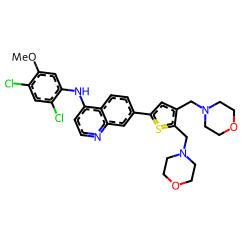 COc1cc(Nc2ccnc3cc(-c4cc(CN5CCOCC5)c(CN5CCOCC5)s4)ccc23)c(Cl)cc1Cl